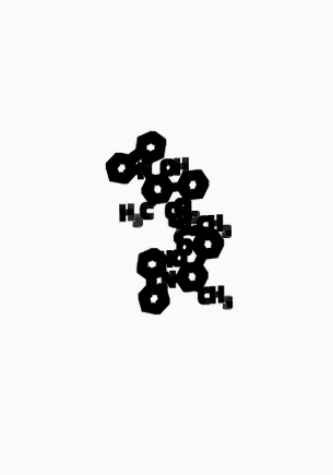 CC[Si](CC)(COc1ccccc1-c1cc(C)cc(-n2c3ccccc3c3ccccc32)c1O)COc1ccccc1-c1cc(C)cc(-n2c3ccccc3c3ccccc32)c1O